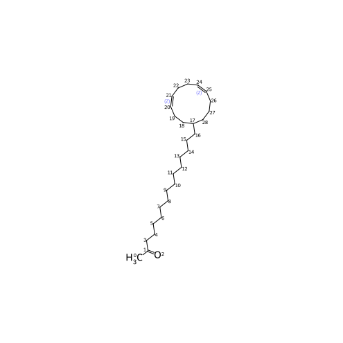 CC(=O)CCCCCCCCCCCCCCC1CC/C=C\CC/C=C\CCC1